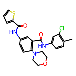 Cc1ccc(NC(=O)c2cc(NC(=O)c3cccs3)ccc2N2CCOCC2)cc1Cl